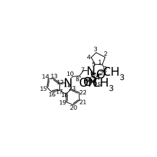 CC1CCCC1N(CC(O)Cn1c2ccccc2c2ccccc21)S(C)(=O)=O